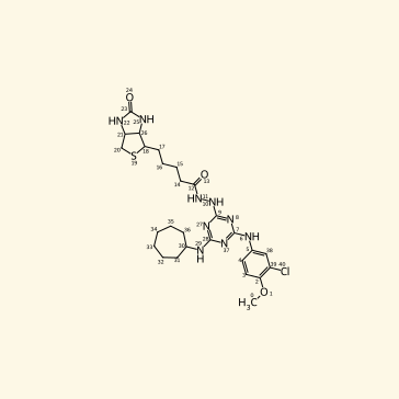 COc1ccc(Nc2nc(NNC(=O)CCCCC3SCC4NC(=O)NC43)nc(NC3CCCCCC3)n2)cc1Cl